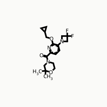 CC1(C)CN(C(=O)c2ccc(N3CC(F)(F)C3)c(OCC3CC3)n2)CCO1